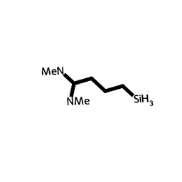 CNC(CCC[SiH3])NC